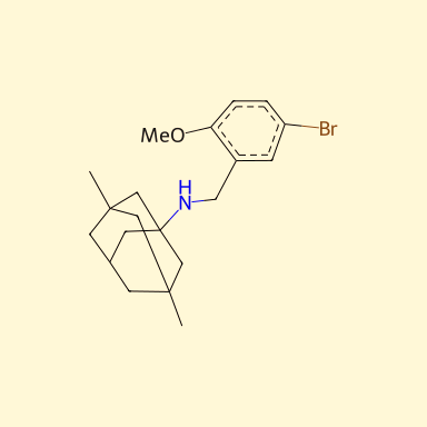 COc1ccc(Br)cc1CNC12CC3CC(C)(CC(C)(C3)C1)C2